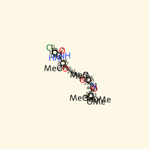 COc1cc(C2NC(=O)c3cc(Cl)ccc3N2)ccc1OCCCCCCCOc1cc(C2=NOC(c3cc(OC)c(OC)c(OC)c3)C2)ccc1OC